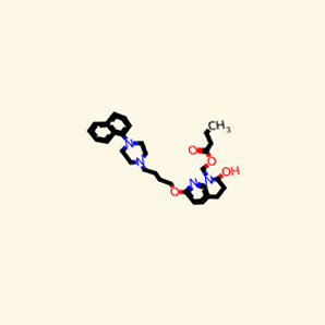 CCCC(=O)OCN1c2nc(OCCCCN3CCN(c4cccc5ccccc45)CC3)ccc2CCC1O